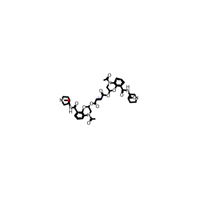 CC(=O)N1CC(OC(=O)/C=C/C(=O)OC2CN(C(C)=O)c3cccc(C(=O)NC4CN5CCC4CC5)c3O2)Oc2c(C(=O)NC3CN4CCC3CC4)cccc21